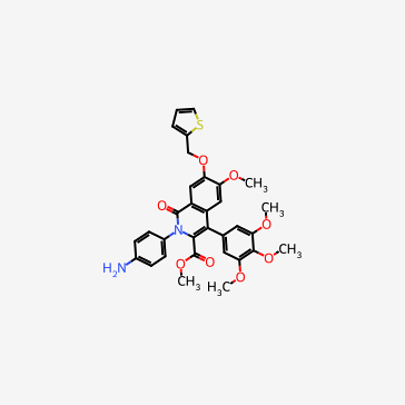 COC(=O)c1c(-c2cc(OC)c(OC)c(OC)c2)c2cc(OC)c(OCc3cccs3)cc2c(=O)n1-c1ccc(N)cc1